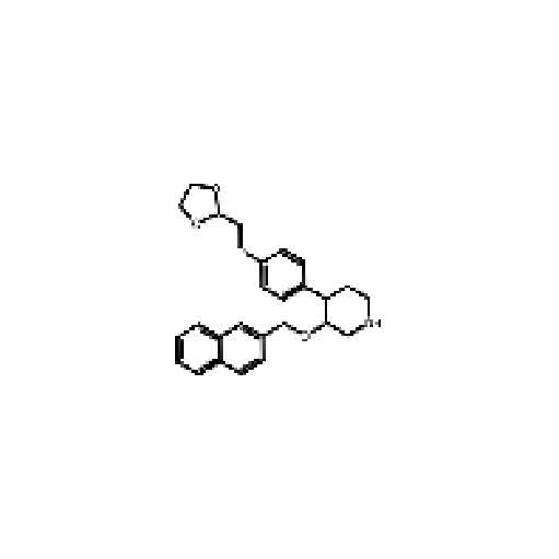 c1ccc2cc(COC3CNCCC3c3ccc(OCC4OCCO4)cc3)ccc2c1